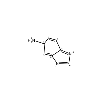 NC1C=CC2=NC=NC2=C1